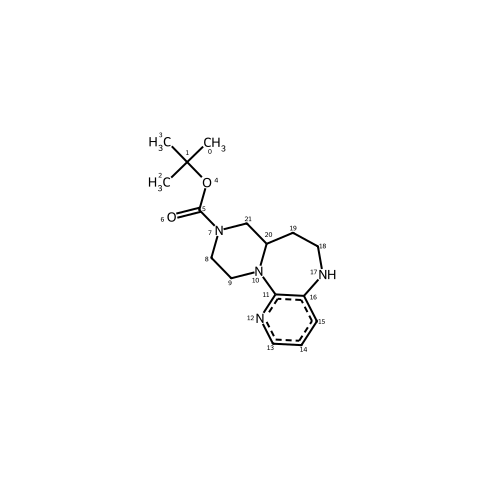 CC(C)(C)OC(=O)N1CCN2c3ncccc3NCCC2C1